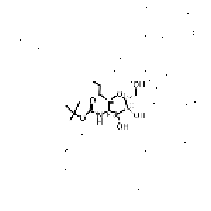 CCC[C@H]1O[C@H](CO)[C@H](O)[C@H](O)[C@H]1NC(=O)OC(C)(C)C